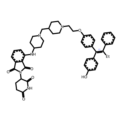 CC/C(=C(\c1ccc(O)cc1)c1ccc(OCCN2CCC(CN3CCC(Nc4cccc5c4C(=O)N(C4CCC(=O)NC4=O)C5=O)CC3)CC2)cc1)c1ccccc1